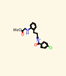 COC(=O)CNc1ccccc1CCC#[N+]C(=O)c1ccc(Cl)cc1